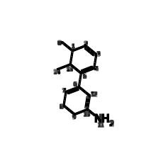 CC1C=CC=C(C2=CCCC(N)=C2)C1C